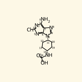 Nc1nc(Cl)nc2c1ncn2[C@H]1CC[C@@H](NC(=O)O)CC1